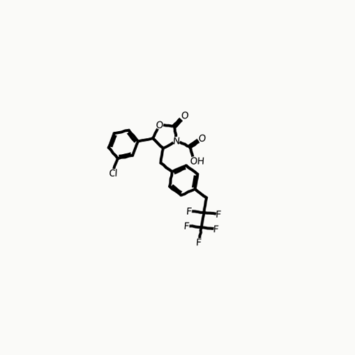 O=C(O)N1C(=O)OC(c2cccc(Cl)c2)C1Cc1ccc(CC(F)(F)C(F)(F)F)cc1